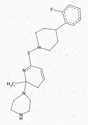 CC1(N2CCNCC2)CC=CC(SN2CCC(c3ccccc3F)CC2)=N1